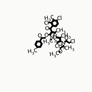 COCC(C)N(C(=O)CCl)c1c(C)csc1C.Cc1ccc(C(=O)COc2c(C(=O)c3ccc(Cl)c(C)c3Cl)c(C)nn2C)cc1